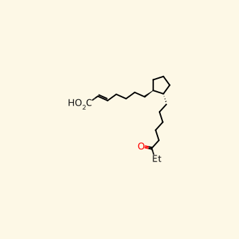 CCC(=O)CCCCC[C@H]1CCC[C@@H]1CCCCC=CC(=O)O